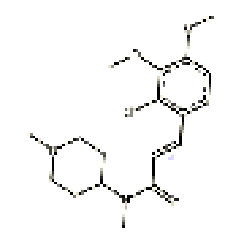 COc1ccc(/C=C/C(=O)N(C)C2CCN(C)CC2)c(Cl)c1OC